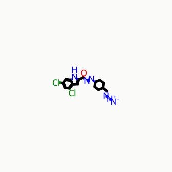 [N-]=[N+]=NCC1CCC(N=NC(=O)c2cc3c(Cl)cc(Cl)cc3[nH]2)CC1